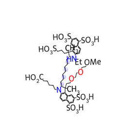 CCNc1ccc2c(S(=O)(=O)O)cc(S(=O)(=O)O)cc2c1C(C)(C/C=C/C=C/C=C/C=C1/N(CCCCCC(=O)O)c2ccc3c(S(=O)(=O)O)cc(S(=O)(=O)O)cc3c2C1(C)CCOCCOCCOC)CCCS(=O)(=O)O